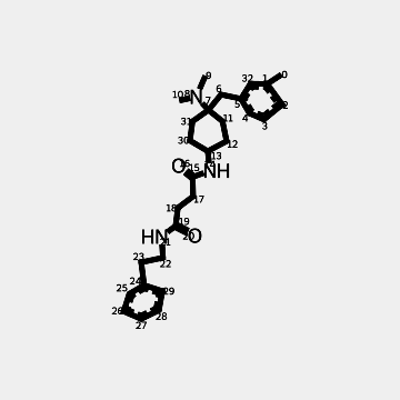 Cc1cccc(CC2(N(C)C)CCC(NC(=O)CCC(=O)NCCc3ccccc3)CC2)c1